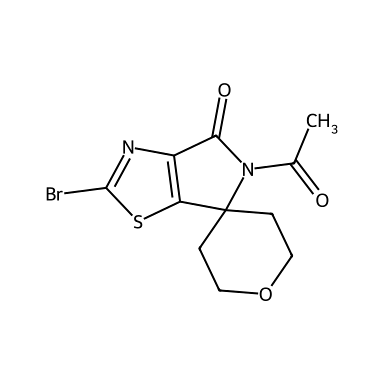 CC(=O)N1C(=O)c2nc(Br)sc2C12CCOCC2